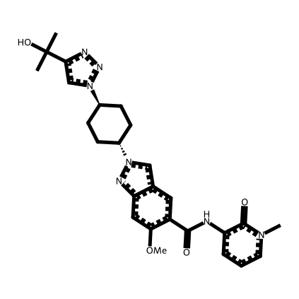 COc1cc2nn([C@H]3CC[C@H](n4cc(C(C)(C)O)nn4)CC3)cc2cc1C(=O)Nc1cccn(C)c1=O